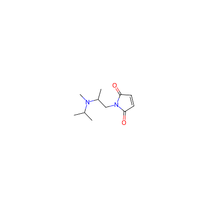 CC(C)N(C)C(C)CN1C(=O)C=CC1=O